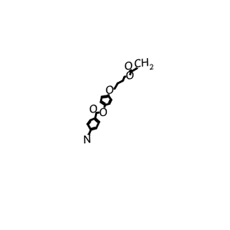 C=CC(=O)OCCCCOc1ccc(OC(=O)c2ccc(C#N)cc2)cc1